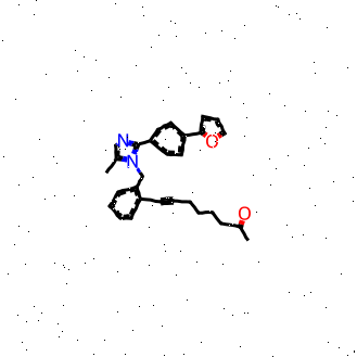 CC(=O)CCCCC#Cc1ccccc1Cn1c(C)cnc1-c1ccc(-c2ccco2)cc1